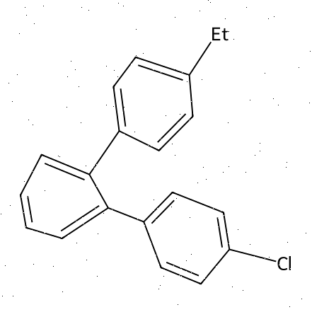 CCc1ccc(-c2ccccc2-c2ccc(Cl)cc2)cc1